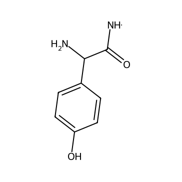 [NH]C(=O)C(N)c1ccc(O)cc1